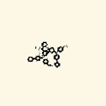 CC1(C)C2=C(CCC=C2)n2c3c(c4c2=C1CC(N(c1ccc(C2=CCCC=C2)cc1)c1ccc(C(C)(C)C)cc1)C=4)C=C(N(C1=CCC(c2ccccc2)C=C1)C1=CCC(C(C)(C)C)C=C1)CC3